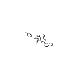 Cn1c(N2CCCC3(CCCC3)C2)nc(C(=O)NCc2ccc(F)cc2)c(O)c1=O